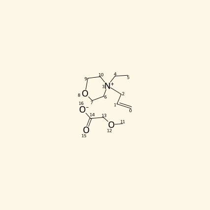 C=CC[N+]1(CC)CCOCC1.COCC(=O)[O-]